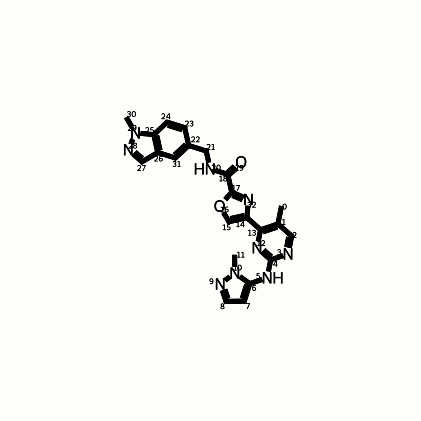 Cc1cnc(Nc2ccnn2C)nc1-c1coc(C(=O)NCc2ccc3c(cnn3C)c2)n1